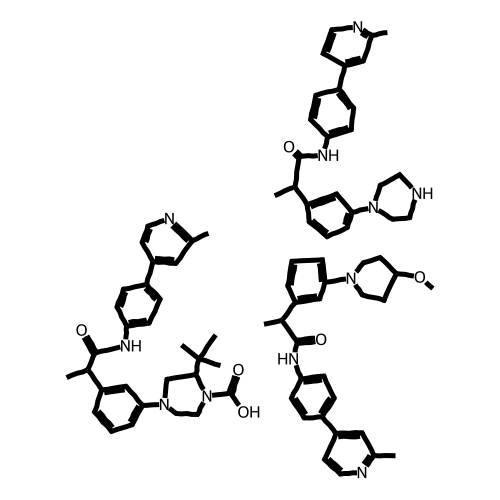 COC1CCN(c2cccc(C(C)C(=O)Nc3ccc(-c4ccnc(C)c4)cc3)c2)CC1.Cc1cc(-c2ccc(NC(=O)C(C)c3cccc(N4CCN(C(=O)O)C(C(C)(C)C)C4)c3)cc2)ccn1.Cc1cc(-c2ccc(NC(=O)C(C)c3cccc(N4CCNCC4)c3)cc2)ccn1